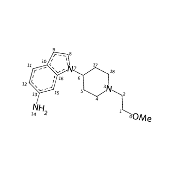 COCCN1CCC(n2ccc3ccc(N)cc32)CC1